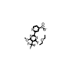 CCOCC.COc1nc(-c2cc([N+](=O)[O-])ccn2)nc(F)c1C(F)(F)F